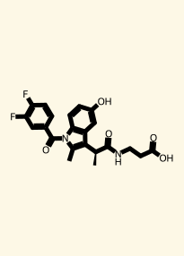 Cc1c([C@H](C)C(=O)NCCC(=O)O)c2cc(O)ccc2n1C(=O)c1ccc(F)c(F)c1